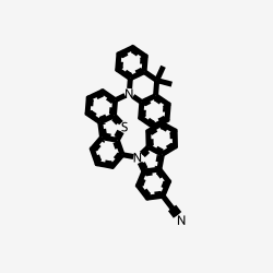 CC1(C)c2ccccc2N(c2cccc3c2sc2c(-n4c5ccccc5c5cc(C#N)ccc54)cccc23)c2ccccc21